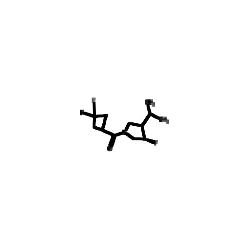 CC(C)C1CN(C(=O)C2CC(F)(F)C2)C[C@@H]1F